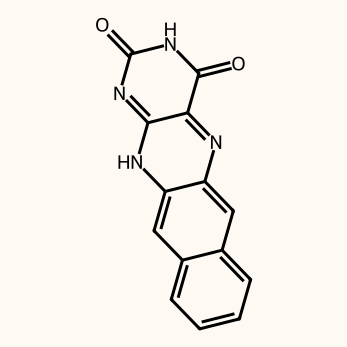 O=c1nc2[nH]c3cc4ccccc4cc3nc-2c(=O)[nH]1